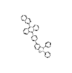 c1ccc(C2Oc3ccc(-c4ccc(-c5c6ccccc6c(-c6ccc7ccccc7c6)c6ccccc56)cc4)cc3C2c2ccccc2)cc1